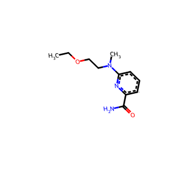 CCOCCN(C)c1cc[c]c(C(N)=O)n1